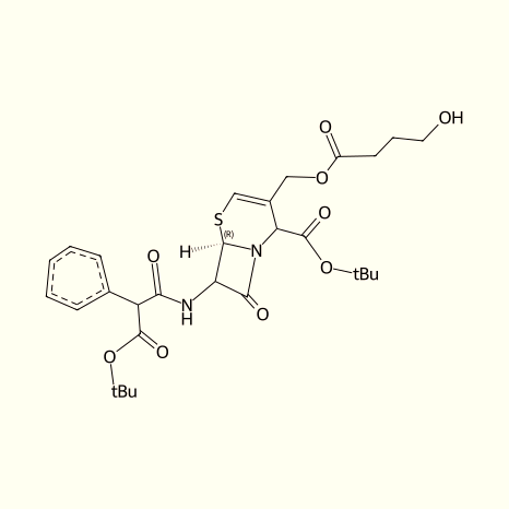 CC(C)(C)OC(=O)C(C(=O)NC1C(=O)N2C(C(=O)OC(C)(C)C)C(COC(=O)CCCO)=CS[C@H]12)c1ccccc1